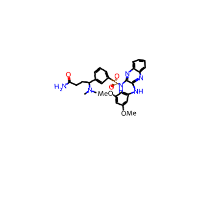 COc1cc(Nc2nc3ccccc3nc2NS(=O)(=O)c2cccc(C(CCC(N)=O)N(C)C)c2)cc(OC)c1